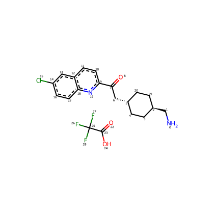 NC[C@H]1CC[C@H](CC(=O)c2ccc3cc(Cl)ccc3n2)CC1.O=C(O)C(F)(F)F